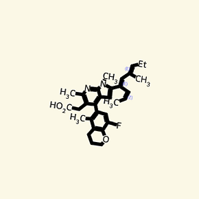 C\C=C/C(=C\C(C)=C\CC)c1cc2c(-c3cc(F)c4c(c3C)CCCO4)c(CC(=O)O)c(C)nc2n1C